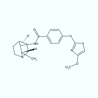 COc1csc(Sc2ccc(C(=O)N[C@@H]3C4CCN(CC4)[C@H]3C)cc2)n1